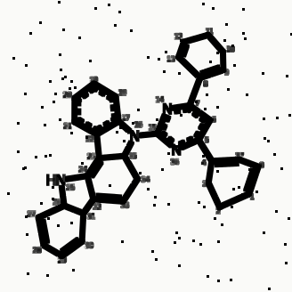 C1=CCCC(c2cc(C3=CCCC=C3)nc(N3c4ccccc4C4=C5NC6C=CC=CC6C5=CCC43)n2)=C1